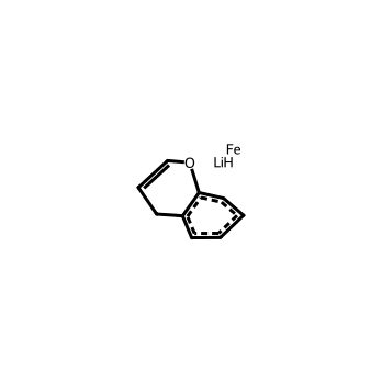 C1=COc2ccccc2C1.[Fe].[LiH]